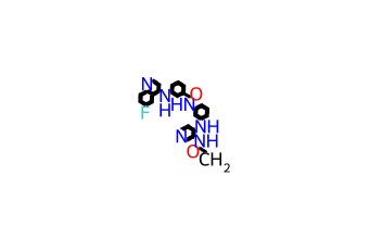 C=CC(=O)Nc1cnccc1Nc1cccc(NC(=O)c2cccc(Nc3ccnc4ccc(F)cc34)c2)c1